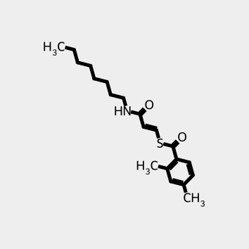 CCCCCCCCNC(=O)C=CSC(=O)c1ccc(C)cc1C